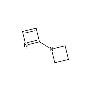 C1=CC(N2CCC2)=N1